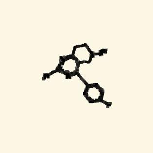 CC(C)c1nc2c(c(-c3ccc(F)cc3)n1)CN(C(C)C)CC2